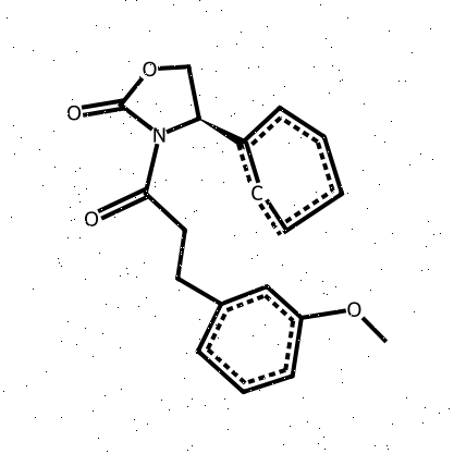 COc1cccc(CCC(=O)N2C(=O)OC[C@H]2c2ccccc2)c1